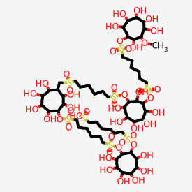 COC1C(O)C(O)C(O)C(O)C(O)C(OS(=O)(=O)CCCCCCS(=O)(=O)OC2C(O)C(O)C(O)C(O)C(O)C(OS(=O)(=O)CCCCCCS(=O)(=O)CC3C(O)C(O)C(O)C(O)C(OS(=O)(=O)CCCCCCS(=O)(=O)OC4C(O)C(O)C(O)C(O)C(O)C(O)C4OS(=O)(=O)CCCCCCS(=O)O)C(O)C3O)C2O)C1O